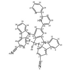 N#Cc1ccc2c(c1)c1ccccc1n2-c1cc(-c2cccc(-c3ccccc3)n2)cc(-n2c3ccccc3c3cc(C#N)ccc32)c1C(F)(F)F